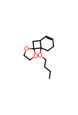 CCCCOC12CCC=CC1CC21OCCO1